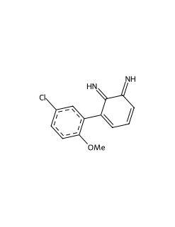 COc1ccc(Cl)cc1C1=CC=CC(=N)C1=N